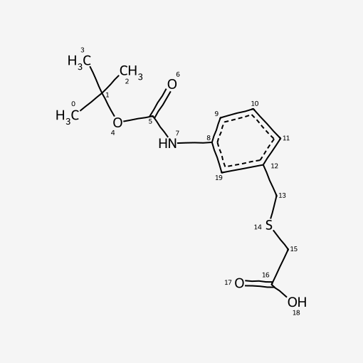 CC(C)(C)OC(=O)Nc1cccc(CSCC(=O)O)c1